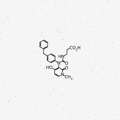 Cn1ccc(O)c(N(C(=O)NCCC(=O)O)c2ccc(Cc3ccccc3)cc2)c1=O